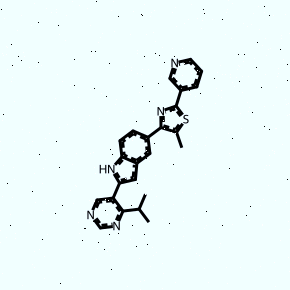 Cc1sc(-c2cccnc2)nc1-c1ccc2[nH]c(-c3cncnc3C(C)C)cc2c1